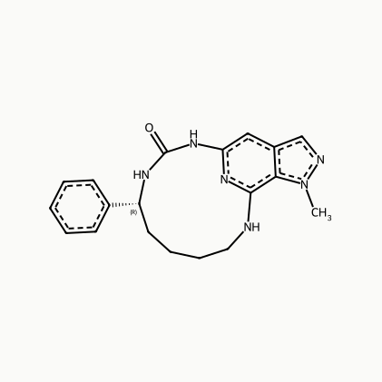 Cn1ncc2cc3nc(c21)NCCCC[C@H](c1ccccc1)NC(=O)N3